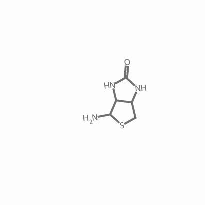 NC1SCC2NC(=O)NC21